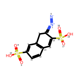 [N-]=[N+]=C1Cc2cc(S(=O)(=O)O)ccc2C=C1S(=O)(=O)O